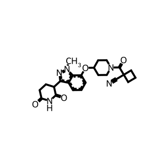 Cn1nc(C2CCC(=O)NC2=O)c2cccc(OC3CCN(C(=O)C4(C#N)CCC4)CC3)c21